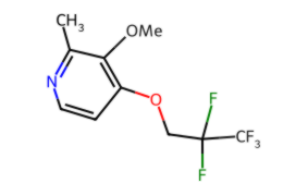 COc1c(OCC(F)(F)C(F)(F)F)ccnc1C